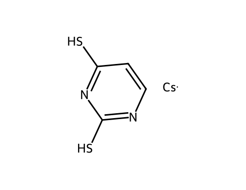 Sc1ccnc(S)n1.[Cs]